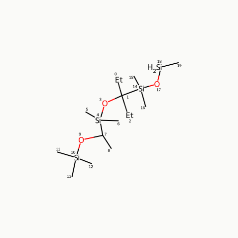 CCC(CC)(O[Si](C)(C)C(C)O[Si](C)(C)C)[Si](C)(C)O[SiH2]C